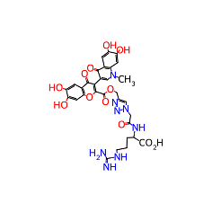 Cn1cc(-c2c(C(=O)OCc3cn(CC(=O)NC(CCCNC(=N)N)C(=O)O)nn3)oc3cc(O)c(O)cc3c2=O)c(=O)c2cc(O)c(O)cc21